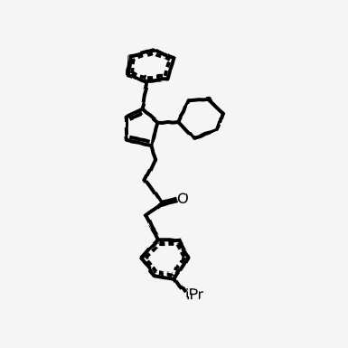 CC(C)c1ccc(CC(=O)CCC2=CC=C(c3ccccc3)C2C2CCCCC2)cc1